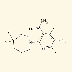 Cc1nc(N2CCCC(F)(F)CC2)c(C(N)=O)c(C)c1C(F)(F)F